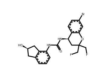 O=C(Nc1cccc2c1C[C@H](O)C2)N[C@@H]1CC(CF)(CF)Oc2cc(Br)ccc21